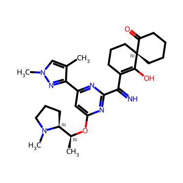 Cc1cn(C)nc1-c1cc(O[C@@H](C)[C@@H]2CCCN2C)nc(C(=N)C2=C(O)[C@]3(CCCCC3=O)CCC2)n1